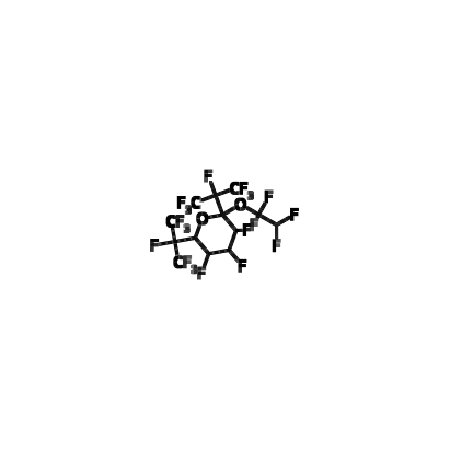 FC1C(F)C(C(F)(C(F)(F)F)C(F)(F)F)OC(OC(F)(F)C(F)F)(C(F)(C(F)(F)F)C(F)(F)F)C1F